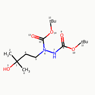 CC(C)(O)CCN(NC(=O)OC(C)(C)C)C(=O)OC(C)(C)C